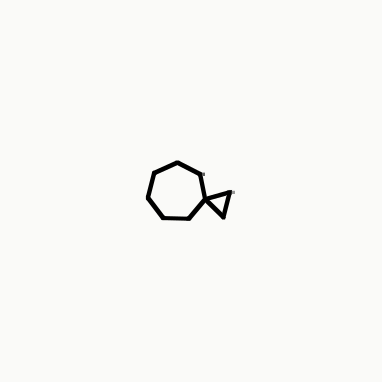 [CH]1CCCCCC12[CH]C2